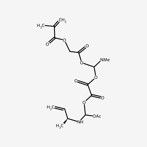 C=C[C@H](C)NC(OC(C)=O)OC(=O)C(=O)OC(NC)OC(=O)COC(=O)C(=C)C